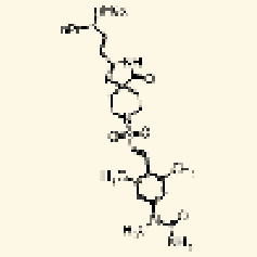 CCCCCCC(CCC)CCC1=NC2(CCN(S(=O)(=O)C=Cc3c(C)cc(N(C)C(N)=O)cc3C)CC2)C(=O)N1